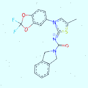 Cc1cn(-c2ccc3c(c2)OC(F)(F)O3)/c(=N/C(=O)N2Cc3ccccc3C2)s1